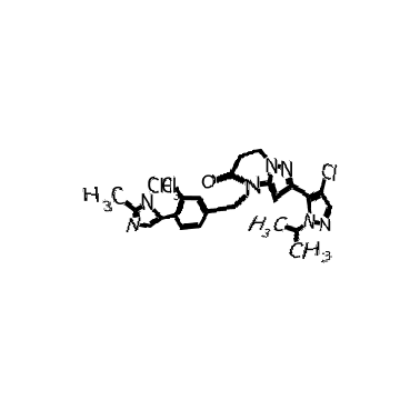 Cc1ncc(-c2ccc(CN3C(=O)CCn4nc(-c5c(Cl)cnn5C(C)C)cc43)cc2Cl)n1C